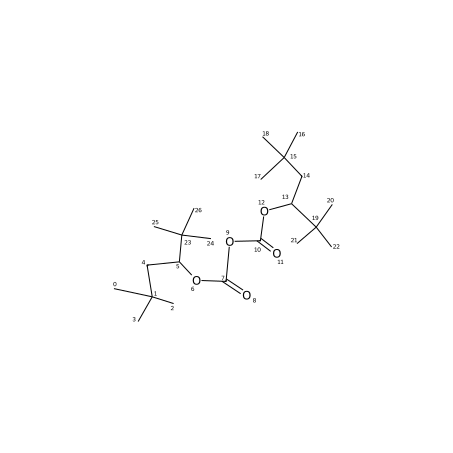 CC(C)(C)CC(OC(=O)OC(=O)OC(CC(C)(C)C)C(C)(C)C)C(C)(C)C